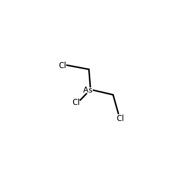 ClC[As](Cl)CCl